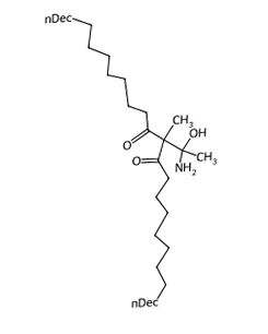 CCCCCCCCCCCCCCCCCC(=O)C(C)(C(=O)CCCCCCCCCCCCCCCCC)C(C)(N)O